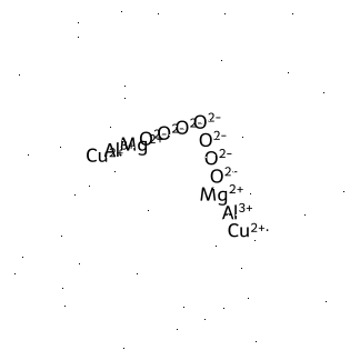 [Al+3].[Al+3].[Cu+2].[Cu+2].[Mg+2].[Mg+2].[O-2].[O-2].[O-2].[O-2].[O-2].[O-2].[O-2]